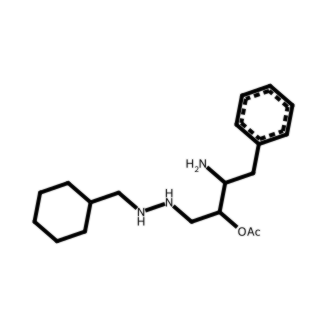 CC(=O)OC(CNNCC1CCCCC1)C(N)Cc1ccccc1